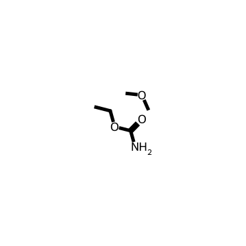 CCOC(N)=O.COC